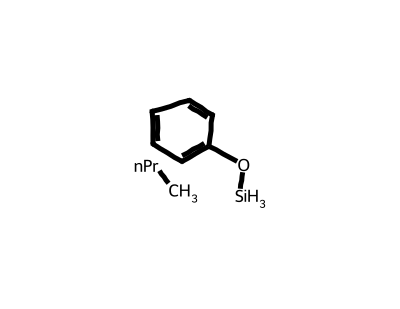 CCCC.[SiH3]Oc1ccccc1